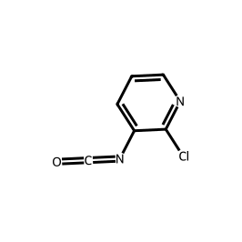 O=C=Nc1cccnc1Cl